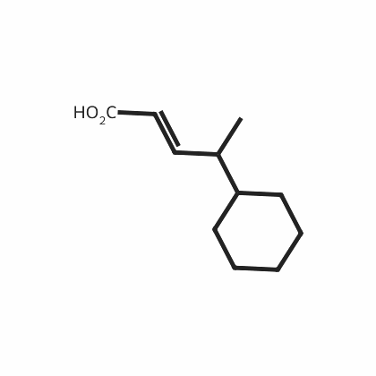 CC(C=CC(=O)O)C1CCCCC1